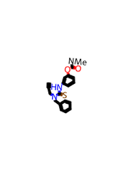 C#CCN(Cc1ccccc1)C(=S)Nc1cccc(OC(=O)NC)c1